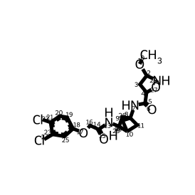 COC1CC(C(=O)NC23CC(C2)[C@@H](NC(=O)COc2ccc(Cl)c(Cl)c2)C3)ON1